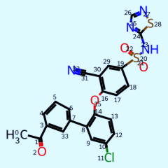 CC(=O)c1cccc(-c2cc(Cl)ccc2Oc2ccc(S(=O)(=O)Nc3ncns3)cc2C#N)c1